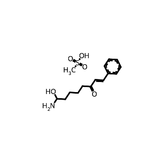 CS(=O)(=O)O.NC(O)CCCCC(=O)C=Cc1ccccc1